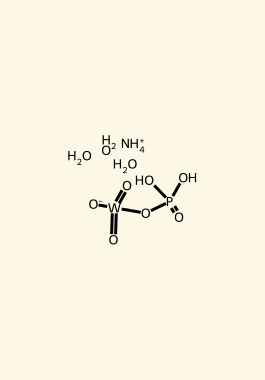 O.O.O.O=P(O)(O)[O][W](=[O])(=[O])[O-].[NH4+]